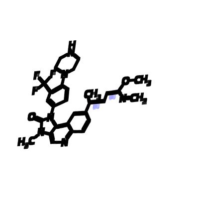 C=N/C(=C\C=C(/C)c1ccc2ncc3c(c2c1)n(-c1ccc(N2CCNCC2)c(C(F)(F)F)c1)c(=O)n3C)OC